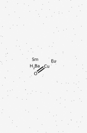 [BaH2].[Eu].[O]=[Cu].[Sm]